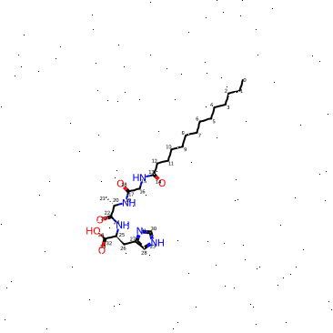 CCCCCCCCCCCCCC(=O)NCC(=O)N[C@@H](C)C(=O)N[C@@H](Cc1c[nH]cn1)C(=O)O